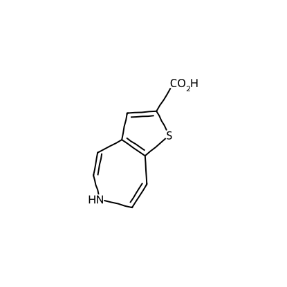 O=C(O)c1cc2c(s1)C=CNC=C2